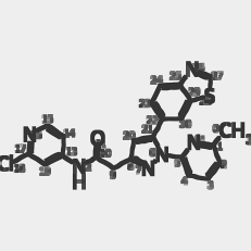 Cc1cccc(-n2nc(CC(=O)Nc3ccnc(Cl)c3)cc2-c2ccc3ncsc3c2)n1